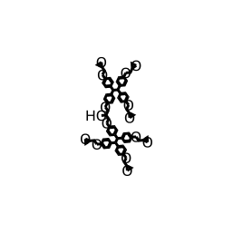 OC(COc1ccc(C(c2ccc(OCC3CO3)cc2)C(c2ccc(OCC3CO3)cc2)c2ccc(OCC3CO3)cc2)cc1)COc1ccc(C(c2ccc(OCC3CO3)cc2)C(c2ccc(OCC3CO3)cc2)c2ccc(OCC3CO3)cc2)cc1